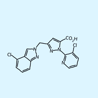 O=C(O)c1cc(Cn2cc3c(Cl)cccc3n2)nn1-c1ncccc1Cl